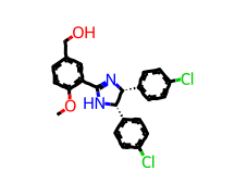 COc1ccc(CO)cc1C1=N[C@H](c2ccc(Cl)cc2)[C@H](c2ccc(Cl)cc2)N1